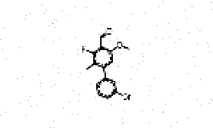 COc1cc(-c2cccc(Br)c2)c(C)c(F)c1C=O